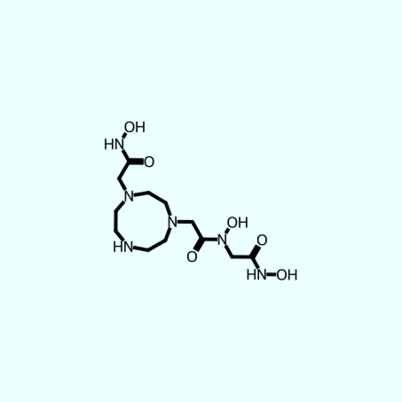 O=C(CN1CCNCCN(CC(=O)N(O)CC(=O)NO)CC1)NO